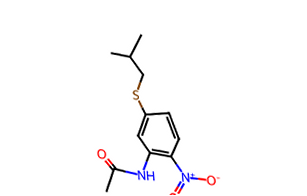 CC(=O)Nc1cc(SCC(C)C)ccc1[N+](=O)[O-]